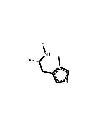 C[C@@H](Cc1cncn1C)NCl